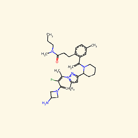 C=C(/C(F)=C(/C)n1nc(C2CCCCN2C(=C)c2cc(C)ccc2CCC(=O)N(C)CCC)cc1C)N1CC(N)C1